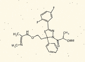 CN=C(C)NOCCC1(c2ccccc2)SC(c2cc(F)ccc2F)=NN1C(=O)C(C)OC